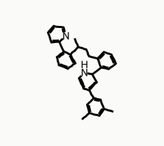 Cc1cc(C)cc(C2=CC(c3ccccc3CCC(C)c3ccccc3-c3ccccn3)NC=C2)c1